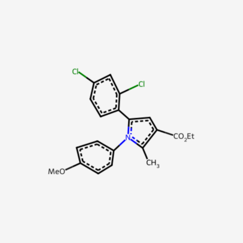 CCOC(=O)c1cc(-c2ccc(Cl)cc2Cl)n(-c2ccc(OC)cc2)c1C